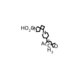 CC(=O)N(CC1(C)COC1)C1CCN(C2CCC23CCN(C(=O)O)C3)CC1